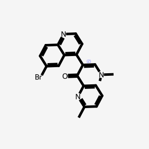 Cc1cccc(C(=O)/C(=C\N(C)C)c2ccnc3ccc(Br)cc23)n1